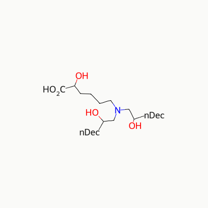 CCCCCCCCCCC(O)CN(CCCCC(O)C(=O)O)CC(O)CCCCCCCCCC